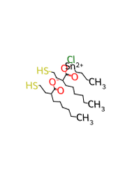 CCCCCCC(CCS)C(=O)[O-].CCCCCCC(CCS)C(=O)[O-].CCC[CH2][Sn+2][Cl]